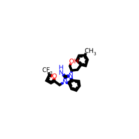 Cc1ccc(CC(CO)n2c(=N)n(Cc3ccc(C(F)(F)F)o3)c3ccccc32)cc1